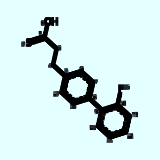 OC(=S)CCc1ccc(-c2ccccc2F)cc1